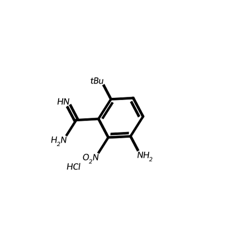 CC(C)(C)c1ccc(N)c([N+](=O)[O-])c1C(=N)N.Cl